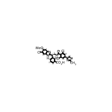 COc1cc2nc([C@@H](CNC(=O)c3c(Cl)cc(-n4cnc(C)n4)cc3Cl)c3cccc(C(=O)O)c3)[nH]c2cc1Cl